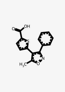 Cc1onc(-c2ccccc2)c1-c1ccc(C(=O)O)s1